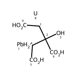 O=C(O)CC(O)(CC(=O)O)C(=O)O.[PbH2].[U]